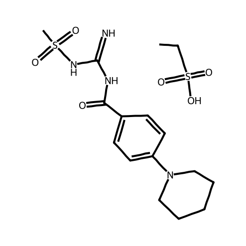 CCS(=O)(=O)O.CS(=O)(=O)NC(=N)NC(=O)c1ccc(N2CCCCC2)cc1